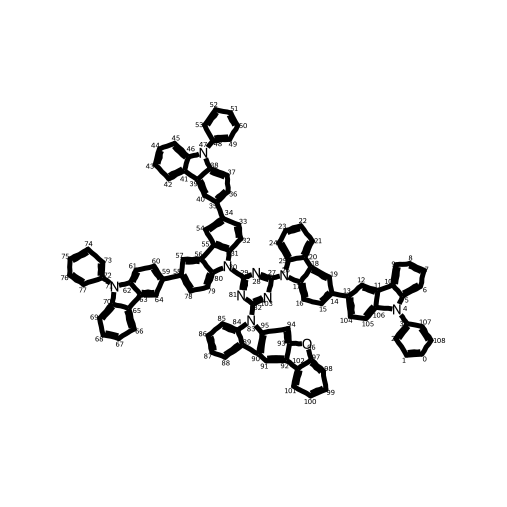 c1ccc(-n2c3ccccc3c3cc(-c4ccc5c(c4)c4ccccc4n5-c4nc(-n5c6ccc(-c7ccc8c(c7)c7ccccc7n8-c7ccccc7)cc6c6cc(-c7ccc8c(c7)c7ccccc7n8-c7ccccc7)ccc65)nc(-n5c6ccccc6c6cc7c(cc65)oc5ccccc57)n4)ccc32)cc1